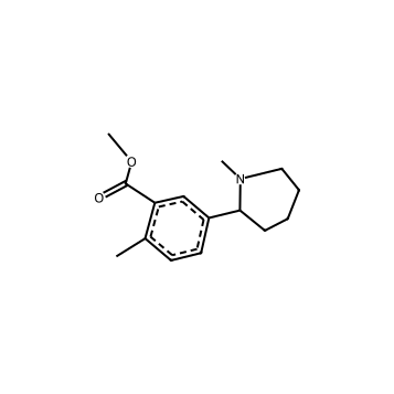 COC(=O)c1cc(C2CCCCN2C)ccc1C